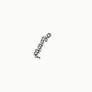 O=C(Oc1ccc2ccc(Oc3ccc4ccc(Oc5ccc6ccc(O)cc6c5)cc4c3)cc2c1)c1ccccc1